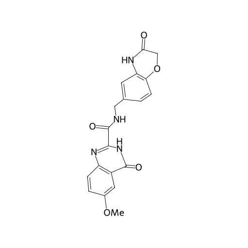 COc1ccc2nc(C(=O)NCc3ccc4c(c3)NC(=O)CO4)[nH]c(=O)c2c1